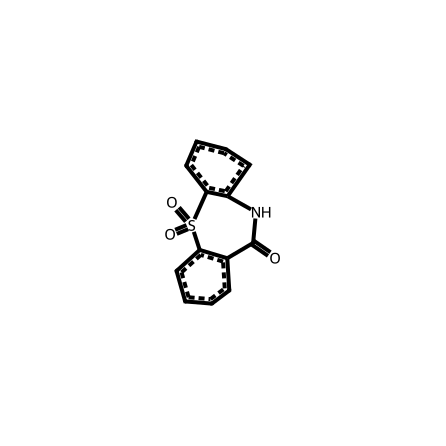 O=C1Nc2ccccc2S(=O)(=O)c2ccccc21